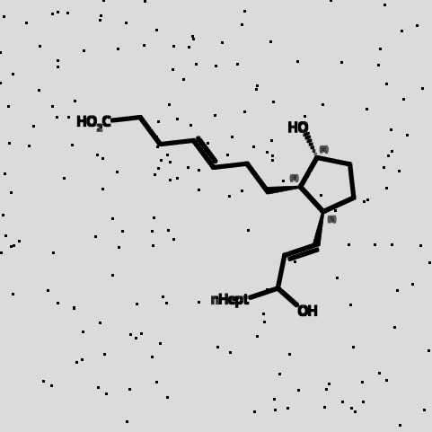 CCCCCCCC(O)C=C[C@@H]1CC[C@@H](O)[C@@H]1CCC=CCCC(=O)O